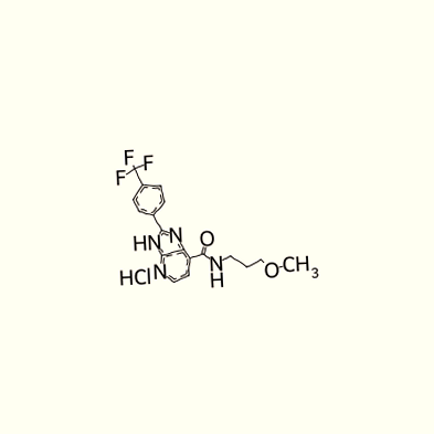 COCCCNC(=O)c1ccnc2[nH]c(-c3ccc(C(F)(F)F)cc3)nc12.Cl